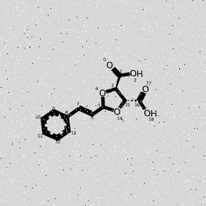 O=C(O)[C@@H]1OC(C=Cc2ccccc2)O[C@H]1C(=O)O